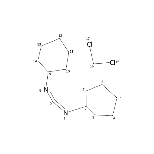 C(=NC1CCCCC1)=NC1CCCCC1.ClCCl